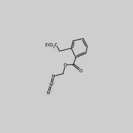 CCOC(=O)Cc1ccccc1C(=O)OCN=[N+]=[N-]